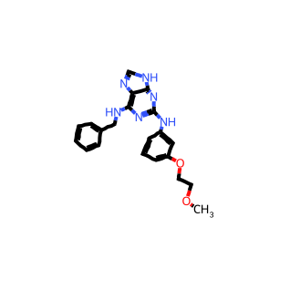 COCCOc1cccc(Nc2nc(NCc3ccccc3)c3nc[nH]c3n2)c1